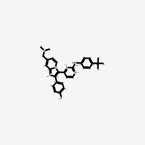 CN(C)Cc1ccn2c(-c3ccnc(Nc4ccc(C(C)(C)C)cc4)n3)c(-c3ccc(F)cc3)nc2c1